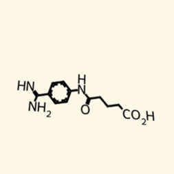 N=C(N)c1ccc(NC(=O)CCCC(=O)O)cc1